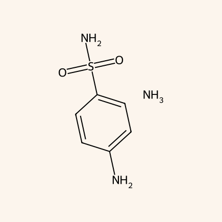 N.Nc1ccc(S(N)(=O)=O)cc1